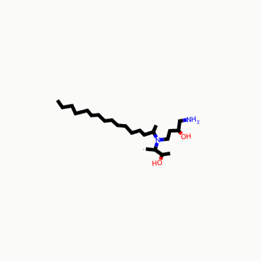 [CH2]C(C(C)O)N(CCC(O)CN)C(C)CCCCCCCCCCCCCC